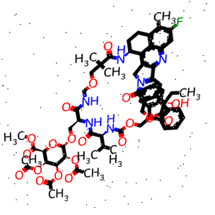 CC[C@@]1(O)C(=O)OCc2c1cc1n(c2=O)Cc2c-1nc1cc(F)c(C)c3c1c2[C@@H](NC(=O)C(C)(C)COCNC(=O)[C@H](CO[C@@H]1O[C@H](C(=O)OC)[C@@H](OC(C)=O)[C@H](OC(C)=O)[C@H]1OC(C)=O)NC(=O)[C@@H](NC(=O)OCC1c2ccccc2-c2ccccc21)C(C)C)CC3